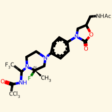 CC(=O)NCC1CN(c2ccc(N3CCN(C(NC(=O)C(Cl)(Cl)Cl)C(F)(F)F)[C@@](C)(F)C3)cc2)C(=O)O1